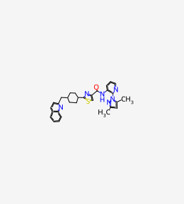 Cc1cc(C)n(-c2ncccc2NC(=O)c2csc(C3CCC(Cc4ccc5ccccc5n4)CC3)n2)n1